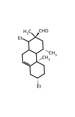 CCC1C2CC=C3C[C@@H](CC)CC[C@]3(C)C2[C@@H](C)C[C@]1(C)C=O